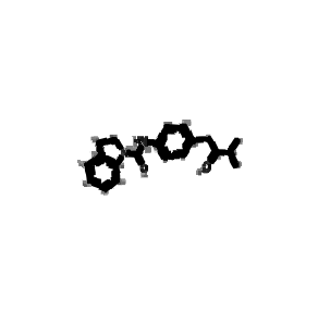 CC(C)C(=O)Cc1ccc(NC(=O)N2CCc3ccccc32)cc1